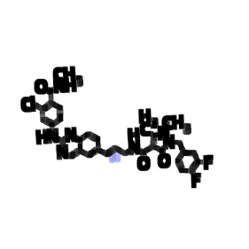 CNC(=O)c1ccc(Nc2ncc3cc(/C=C/CNC(=O)c4c(C)n(C)n(Cc5ccc(F)c(F)c5)c4=O)ccc3n2)cc1Cl